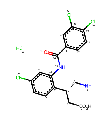 Cl.NC[C@H](CC(=O)O)c1ccc(Cl)cc1NC(=O)c1ccc(Cl)c(Cl)c1